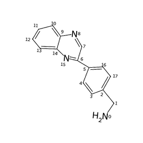 NCc1ccc(-c2cnc3ccccc3n2)cc1